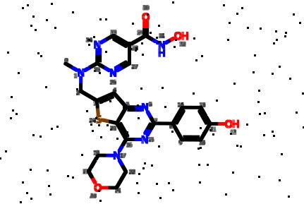 CN(Cc1cc2nc(-c3ccc(O)cc3)nc(N3CCOCC3)c2s1)c1ncc(C(=O)NO)cn1